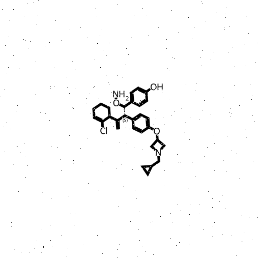 C=C(C1CCCC=C1Cl)[C@@H](c1ccc(OC2CN(CC3CC3)C2)cc1)C(ON)c1ccc(O)cc1